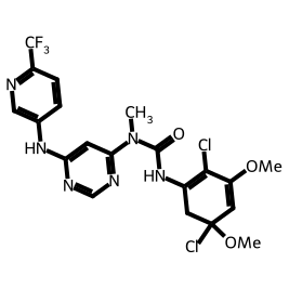 COC1=CC(Cl)(OC)CC(NC(=O)N(C)c2cc(Nc3ccc(C(F)(F)F)nc3)ncn2)=C1Cl